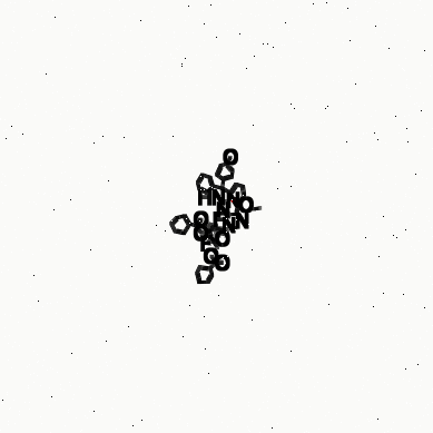 CCOc1nc(NC(c2ccccc2)(c2ccccc2)c2ccc(OC)cc2)nc2c1ncn2[C@@H]1O[C@](F)(COC(=O)c2ccccc2)[C@@H](OC(=O)c2ccccc2)[C@@]1(C)F